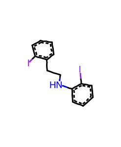 Ic1ccccc1CCNc1ccccc1I